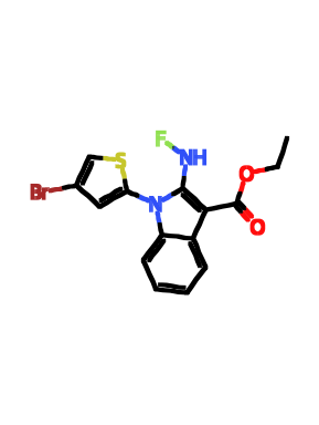 CCOC(=O)c1c(NF)n(-c2cc(Br)cs2)c2ccccc12